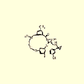 CCCN1CCCCOc2cc(F)cc(c2)CC(C(O)CNC2(c3cccc(CC)c3)CC2)NC(=O)c2cc(C)cc(c2)C1